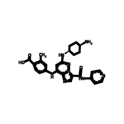 Cc1cc(Nc2cc(N[C@H]3CC[C@H](N)CC3)nn3c(C(=O)Nc4ccncc4)cnc23)ccc1C(=O)O